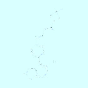 Cc1ccc2[nH]ncc2c1-c1ccc2nc(NC(=O)C3CC(F)(F)C3)sc2c1